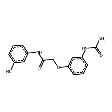 N#Cc1cccc(NC(=O)COc2cccc(NC(N)=O)c2)c1